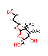 CC(=O)O[C@H]1[C@H](O)[C@@H](CO)OC(OCCCBr)[C@H]1OC(C)=O